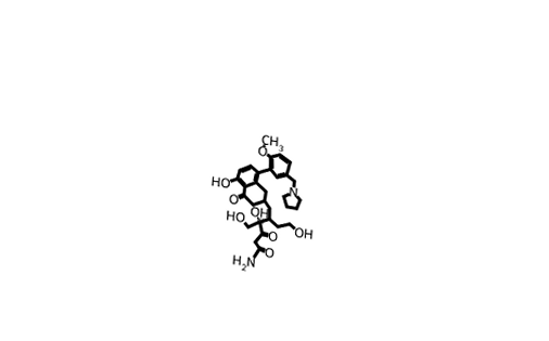 COc1ccc(CN2CCCC2)cc1-c1ccc(O)c2c1CC(CC(CCO)[C@](O)(CO)C(=O)CC(N)=O)CC2=O